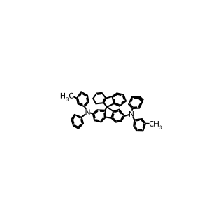 Cc1cccc(N(c2cc#ccc2)c2ccc3c(c2)C2(C4=C(C=CCC4)c4ccccc42)c2cc(N(c4ccccc4)c4cccc(C)c4)ccc2-3)c1